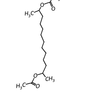 CC(=O)OC(C)CCCCCCCCCC(C)OC(C)=O